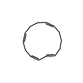 [CH]1/C=C/C=C\C/C=C\CC/C=C\CC1